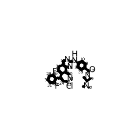 CN(C)C1CN(C(=O)c2ccc(Nc3ncc4c(n3)C3=CN=C(Cl)C=C(c5c(F)cccc5F)C3=CC4)cc2)C1